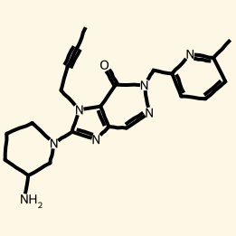 CC#CCn1c(N2CCCC(N)C2)nc2cnn(Cc3cccc(C)n3)c(=O)c21